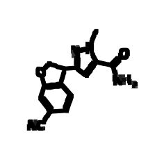 Cn1nc(C2COc3cc(C#N)ccc32)cc1C(N)=O